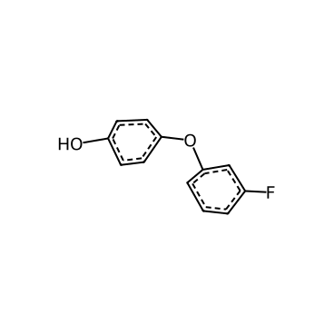 Oc1ccc(Oc2cccc(F)c2)cc1